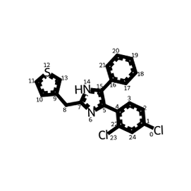 Clc1ccc(-c2nc(Cc3ccsc3)[nH]c2-c2ccccc2)c(Cl)c1